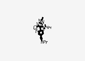 CCCC#Cc1cc(F)c(-c2c(Cl)nc3nc(C)nn3c2N(C)[C@H](C)C(C)C)c(F)c1